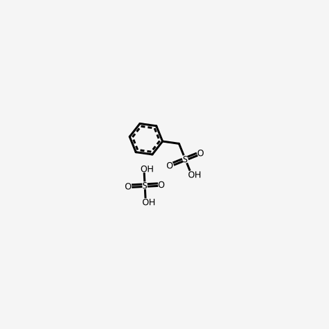 O=S(=O)(O)Cc1ccccc1.O=S(=O)(O)O